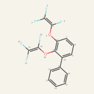 FC(F)=C(F)Oc1cccc(-c2ccccc2)c1OC(F)=C(F)F